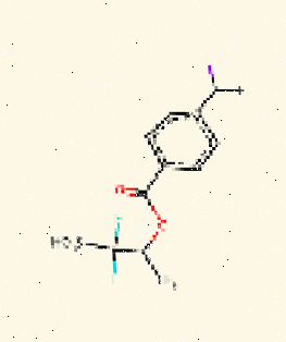 CCC(I)c1ccc(C(=O)OC(C(F)(F)F)C(F)(F)S(=O)(=O)O)cc1